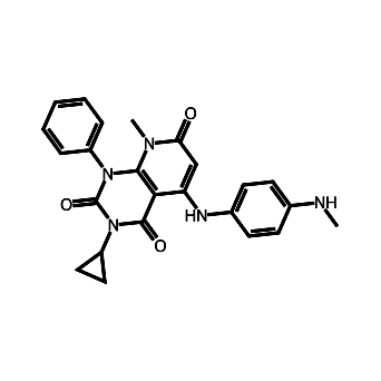 CNc1ccc(Nc2cc(=O)n(C)c3c2c(=O)n(C2CC2)c(=O)n3-c2ccccc2)cc1